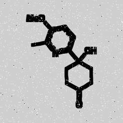 COc1ccc(C2(O)CCC(=O)CC2)nc1C